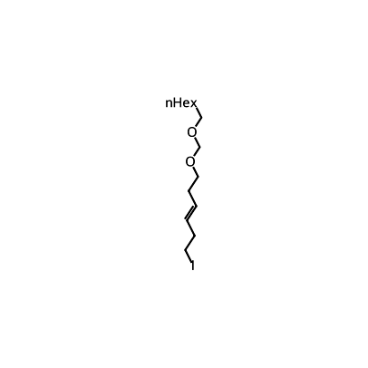 CCCCCCCOCOCC/C=C/CCI